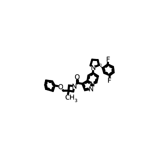 CC1(COc2ccccc2)CN(C(=O)c2cnn3ccc(N4CCC[C@@H]4c4cc(F)ccc4F)cc23)C1